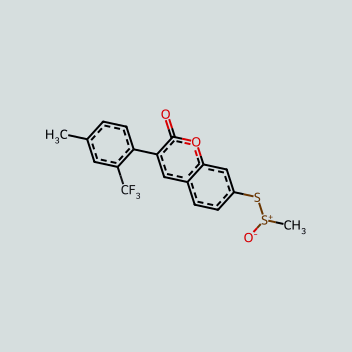 Cc1ccc(-c2cc3ccc(S[S+](C)[O-])cc3oc2=O)c(C(F)(F)F)c1